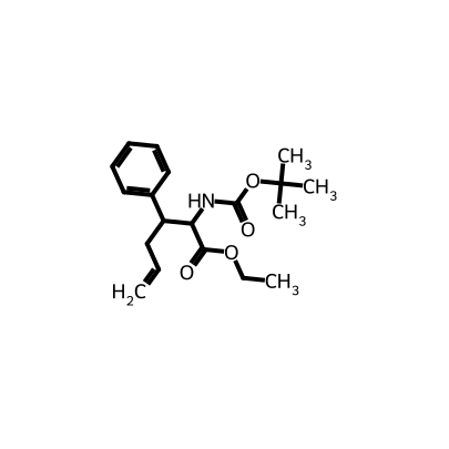 C=CCC(c1ccccc1)C(NC(=O)OC(C)(C)C)C(=O)OCC